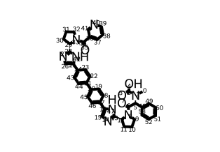 CN(C(=O)O)[C@@H](C(=O)N1CCC[C@H]1c1ncc(-c2ccc(-c3ccc(-c4cnc([C@@H]5CCCN5C(=O)c5cccnc5)[nH]4)cc3)cc2)[nH]1)c1ccccc1